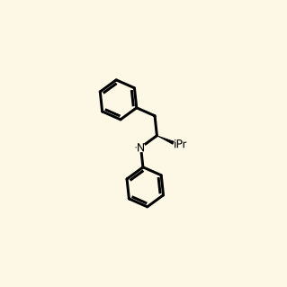 CC(C)[C@H](Cc1ccccc1)[N]c1ccccc1